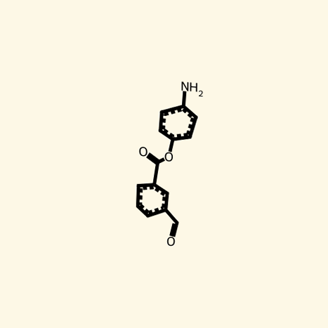 Nc1ccc(OC(=O)c2cccc(C=O)c2)cc1